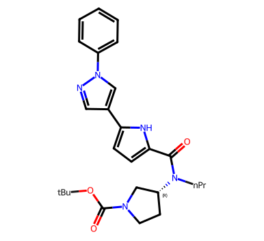 CCCN(C(=O)c1ccc(-c2cnn(-c3ccccc3)c2)[nH]1)[C@@H]1CCN(C(=O)OC(C)(C)C)C1